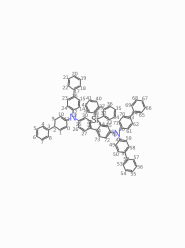 C1=CC(c2ccccc2)CC=C1N(c1ccc(-c2ccccc2)cc1)c1ccc2c(c1)[Si](c1ccccc1)(c1ccccc1)c1cc(N(c3ccc(-c4ccccc4)cc3)c3ccc(-c4ccccc4)cc3)ccc1-2